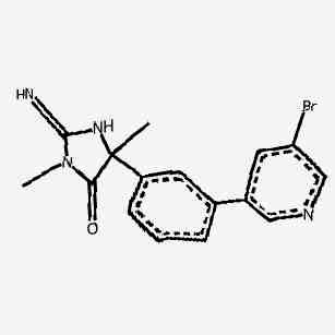 CN1C(=N)NC(C)(c2cccc(-c3cncc(Br)c3)c2)C1=O